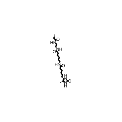 C[C@@H]1NC(=O)N[C@@H]1CCCCCC(=O)NCCCCCC(=O)NCCNC(=O)CI